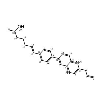 C=CCc1cnc2cc(-c3ccc(/C=C/CCCC(C)O)cc3)ccc2n1